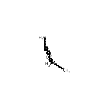 CCCCCCCCCOC(C)c1ccc(C(=O)Oc2ccc(-c3ccc(CCCCCCC)cc3)cc2)cc1